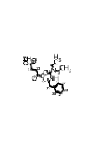 CCN(CC)C(=O)N[C@@H](COC(=O)/C=C/C(=O)OC)Cc1ccccc1